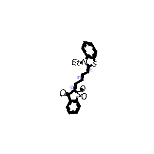 CCN1\C(=C/C=C/C=C2/C(=O)c3ccccc3S2(=O)=O)Sc2ccccc21